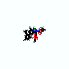 CCOC(=O)CC(NC(=O)OC(C)(C)C)c1cc(-c2c(C)cc(C)cc2C2CC2)cc(C)c1F